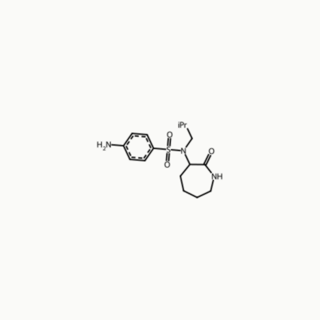 CC(C)CN(C1CCCCNC1=O)S(=O)(=O)c1ccc(N)cc1